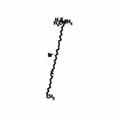 CCCCCCCCCCCCCCCCCCCCCCCCCCCCCCC[N+](C)(C)C.[Br-]